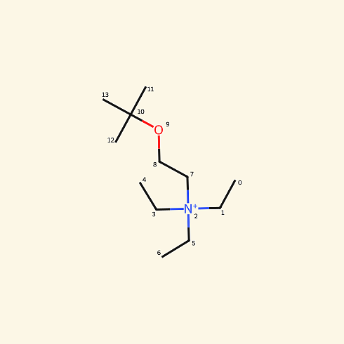 CC[N+](CC)(CC)CCOC(C)(C)C